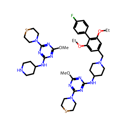 CCOc1cc(CN2CCC(Nc3nc(OC)nc(N4CCSCC4)n3)CC2)cc(OCC)c1-c1ccc(F)cc1.COc1nc(NC2CCNCC2)nc(N2CCSCC2)n1